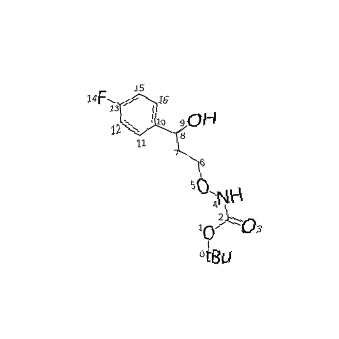 CC(C)(C)OC(=O)NOCCC(O)c1ccc(F)cc1